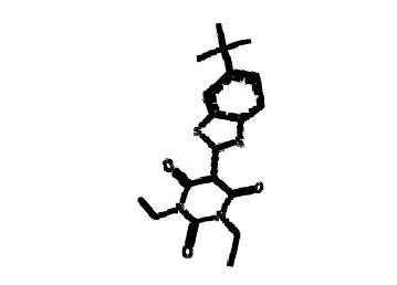 CCN1C(=O)C(C2Sc3ccc(C(C)(C)C)cc3S2)C(=O)N(CC)C1=O